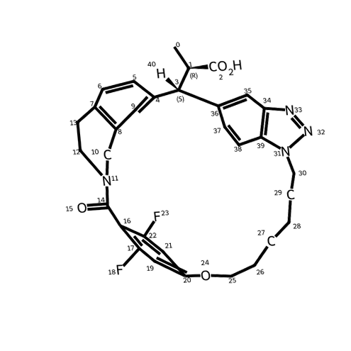 C[C@@H](C(=O)O)[C@H]1c2ccc3c(c2)CN(CC3)C(=O)c2c(F)cc(cc2F)OCCCCCCn2nnc3cc1ccc32